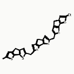 CCc1cc2c(s1)-c1sc(Cc3cc4c(s3)-c3sc(Cc5cc6c(s5)-c5sc(C)cc5C6)cc3C4)cc1C2